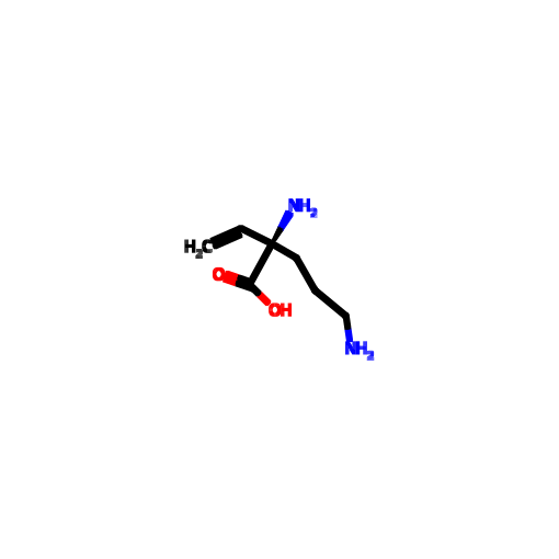 C=C[C@](N)(CCCN)C(=O)O